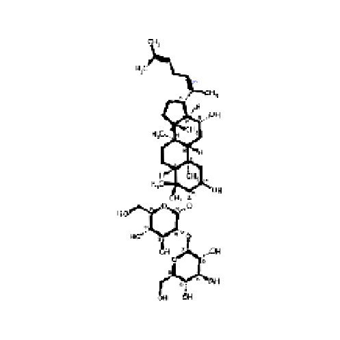 CC(C)=CC/C=C(/C)[C@H]1CC[C@]2(C)[C@@H]1[C@H](O)C[C@@H]1[C@@]3(C)C[C@@H](O)[C@H](O[C@H]4O[C@H](CO)[C@@H](O)[C@H](O)[C@H]4O[C@@H]4O[C@H](CO)[C@@H](O)[C@H](O)[C@H]4O)C(C)(C)[C@@H]3CC[C@]12C